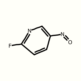 O=Nc1ccc(F)nc1